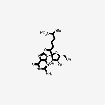 CCCCC(CCCC(=O)[C@@]1(n2cnc3c(=O)[nH]c(N)nc32)O[C@H](CO)[C@@H](O)[C@H]1O)C(=O)O